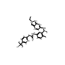 CCn1cc2ncc(N[C@@H](C)c3cc(NC(=O)Cc4ccc(C(C)(C)F)cn4)ccc3C)nc2n1